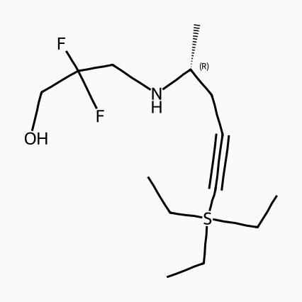 CCS(C#CC[C@@H](C)NCC(F)(F)CO)(CC)CC